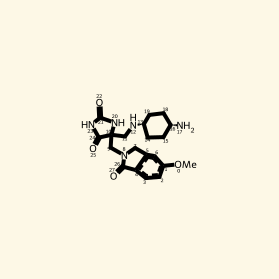 COc1ccc2c(c1)CN(CC1(CN[C@H]3CC[C@@H](N)CC3)NC(=O)NC1=O)C2=O